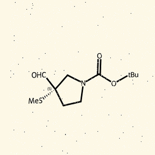 CS[C@@]1(C=O)CCN(C(=O)OC(C)(C)C)C1